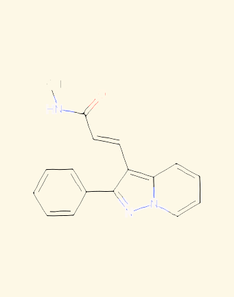 CNC(=O)/C=C/c1c(-c2ccccc2)nn2ccccc12